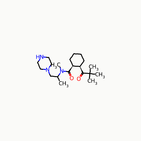 CC(CN1CCNCC1)N(C)C(=O)[C@H]1CCCC[C@H]1C(=O)C(C)(C)C